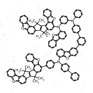 CC1(C)C2=C(c3c1cc(-c1ccc(N(c4ccc(-c5ccccc5)cc4)c4cccc5c4oc4ccc(-c6cccc(-c7ccc(N(c8ccccc8)c8cccc(N(c9cccc%10c9oc9ccccc9%10)c9cc%10c(c%11c9oc9ccccc9%11)C9=C(c%11ccc%12oc%13ccccc%13c%12c%11C9(C)C)C%10(C)C)c8)cc7)c6)cc45)cc1)c1oc4ccccc4c31)C(C)(C)c1c2ccc2oc3ccccc3c12